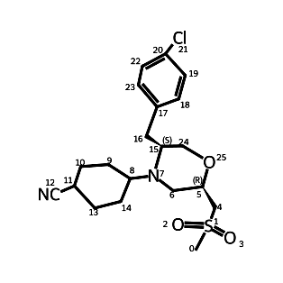 CS(=O)(=O)C[C@H]1CN(C2CCC(C#N)CC2)[C@@H](Cc2ccc(Cl)cc2)CO1